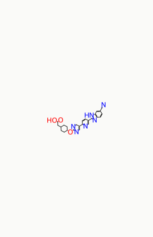 N#Cc1ccc2nc(-c3ccc(-c4cnc(OC5CCC(CC(=O)O)CC5)nc4)nc3)[nH]c2c1